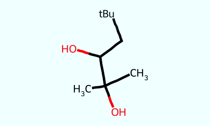 CC(C)(C)CC(O)C(C)(C)O